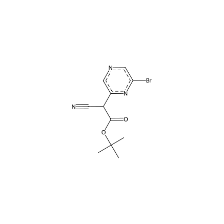 CC(C)(C)OC(=O)C(C#N)c1cncc(Br)n1